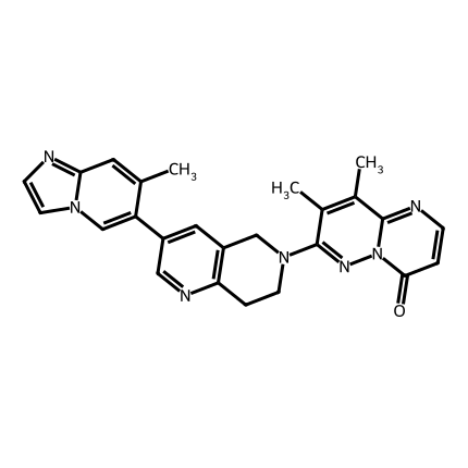 Cc1cc2nccn2cc1-c1cnc2c(c1)CN(c1nn3c(=O)ccnc3c(C)c1C)CC2